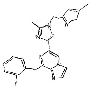 CC1=CC(Cn2nc(-c3cn4ccnc4c(Cc4ccccc4F)n3)nc2C)=NC1